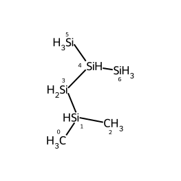 C[SiH](C)[SiH2][SiH]([SiH3])[SiH3]